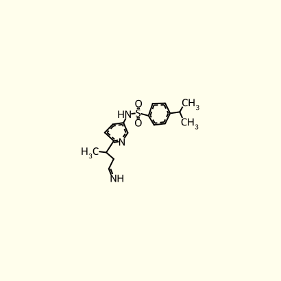 CC(C)c1ccc(S(=O)(=O)Nc2ccc(C(C)CC=N)nc2)cc1